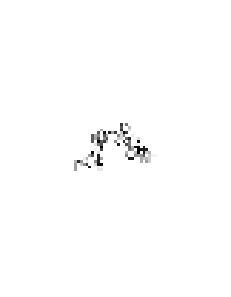 Cc1cn(-c2ccc3n(c2=O)CCN(Cc2ccnc(OCc4cc(F)cc(F)c4F)c2)C3=O)cn1